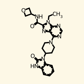 CCn1c(C(=O)NC2COC2)nc2c(N3CCC(n4c(=O)[nH]c5ccccc54)CC3)ncnc21